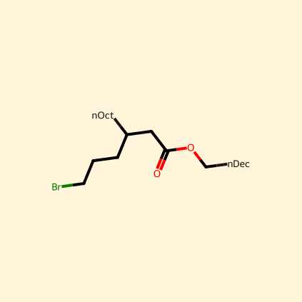 CCCCCCCCCCCOC(=O)CC(CCCBr)CCCCCCCC